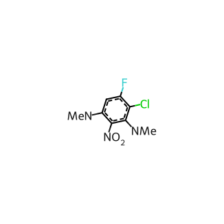 CNc1cc(F)c(Cl)c(NC)c1[N+](=O)[O-]